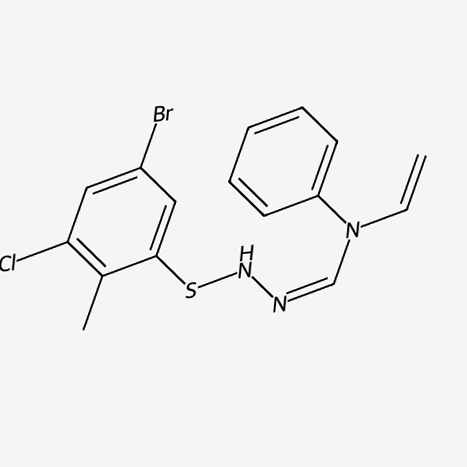 C=CN(/C=N\NSc1cc(Br)cc(Cl)c1C)c1ccccc1